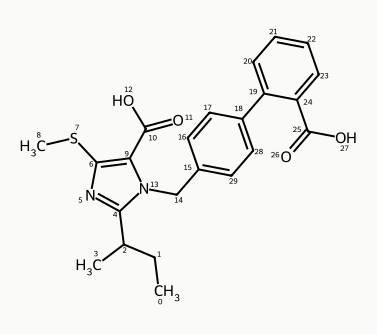 CCC(C)c1nc(SC)c(C(=O)O)n1Cc1ccc(-c2ccccc2C(=O)O)cc1